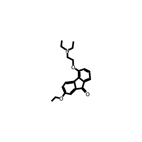 CCOc1ccc2c(c1)C(=O)c1cccc(OCCN(CC)CC)c1-2